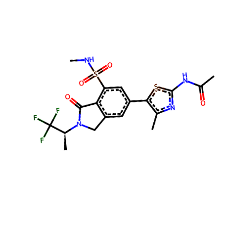 CNS(=O)(=O)c1cc(-c2sc(NC(C)=O)nc2C)cc2c1C(=O)N([C@@H](C)C(F)(F)F)C2